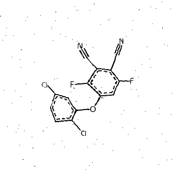 N#Cc1c(F)cc(Oc2cc(Cl)ccc2Cl)c(F)c1C#N